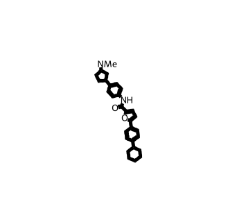 CNC1CCC(c2ccc(NC(=O)c3ccc(-c4ccc(C5CCCCC5)cc4)o3)cc2)C1